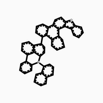 c1ccc(-c2ccccc2N(c2ccc(-c3cccc4c5ccc6oc7ccccc7c6c5c5ccccc5c34)cc2)c2cccc3ccccc23)cc1